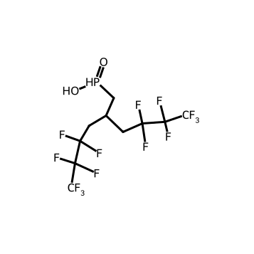 O=[PH](O)CC(CC(F)(F)C(F)(F)C(F)(F)F)CC(F)(F)C(F)(F)C(F)(F)F